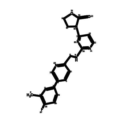 Cc1cc(-c2ccc(CNc3nccc(N4CCOC4=O)n3)nc2)ccc1F